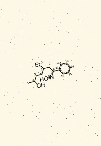 CCC(CCC(C)O)CC(=NO)c1ccccc1